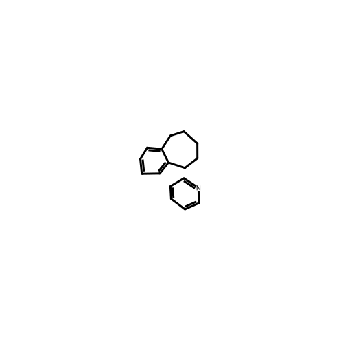 c1ccc2c(c1)CCCCC2.c1ccncc1